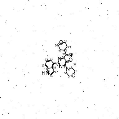 C[C@@H]1COCCN1c1nc(-c2cccc3[nH]ccc23)nc2c(C3CCOCC3)noc12